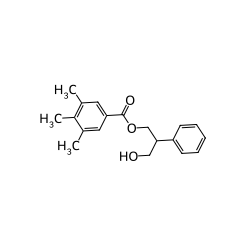 Cc1cc(C(=O)OCC(CO)c2ccccc2)cc(C)c1C